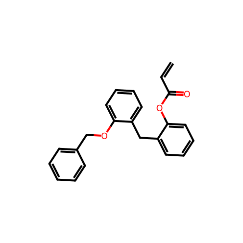 C=CC(=O)Oc1ccccc1Cc1ccccc1OCc1ccccc1